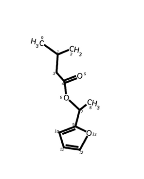 CC(C)CC(=O)OC(C)c1ccco1